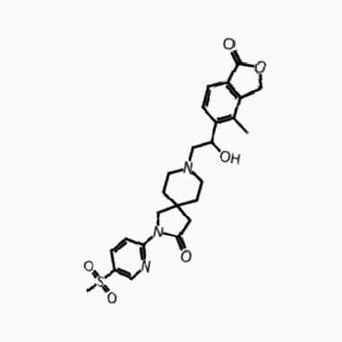 Cc1c(C(O)CN2CCC3(CC2)CC(=O)N(c2ccc(S(C)(=O)=O)cn2)C3)ccc2c1COC2=O